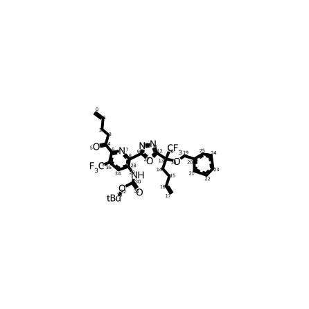 C=CCCC(=O)c1nc(-c2nnc(C(CCC=C)(OCc3ccccc3)C(F)(F)F)o2)c(NC(=O)OC(C)(C)C)cc1C(F)(F)F